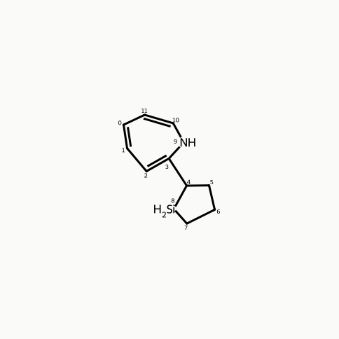 C1=CC=C(C2CCC[SiH2]2)NC=C1